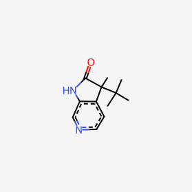 CC(C)(C)C1(C)C(=O)Nc2cnccc21